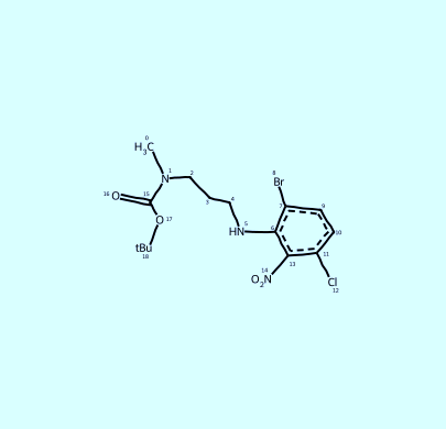 CN(CCCNc1c(Br)ccc(Cl)c1[N+](=O)[O-])C(=O)OC(C)(C)C